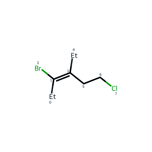 CCC(Br)=C(CC)CCCl